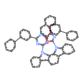 c1ccc(-c2cccc(-c3nc(-c4cccc(-c5ccccc5)c4)nc(-n4c5ccccc5c5ccc6c7ccccc7n(-c7nc8c(ccc9ccccc98)o7)c6c54)n3)c2)cc1